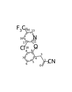 C=C(C#N)Cc1ccccc1Oc1ncc(C(F)(F)F)cc1Cl